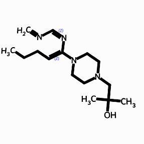 C=N/C=N\C(=C/CCC)N1CCN(CC(C)(C)O)CC1